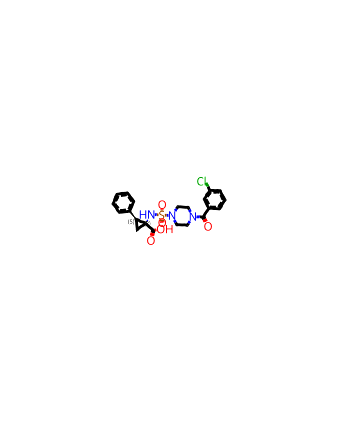 O=C(c1cccc(Cl)c1)N1CCN(S(=O)(=O)N[C@]2(C(=O)O)C[C@H]2c2ccccc2)CC1